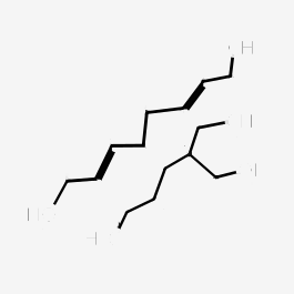 CCC=CCCC=CCO.CCCCC(CC)CO